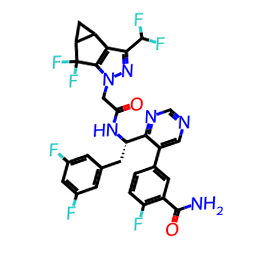 NC(=O)c1cc(-c2cncnc2[C@H](Cc2cc(F)cc(F)c2)NC(=O)Cn2nc(C(F)F)c3c2C(F)(F)C2CC32)ccc1F